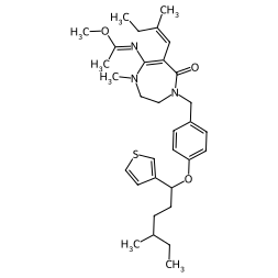 CC/C(C)=C\C1=C(/N=C(\C)OC)N(C)CCN(Cc2ccc(OC(CCC(C)CC)c3ccsc3)cc2)C1=O